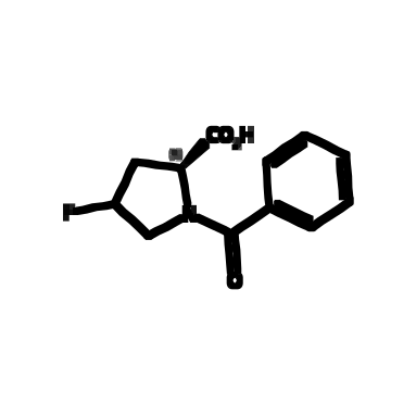 O=C(O)[C@@H]1CC(F)CN1C(=O)c1ccccc1